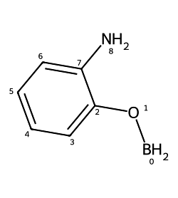 BOc1ccccc1N